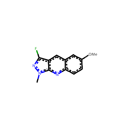 COc1ccc2nc3c(cc2c1)c(F)nn3C